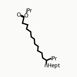 CCCCCCCC(CCCCCCCCCCCC(=O)OC(C)C)C(C)C